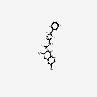 NC1Cc2cc(Cl)cnc2SC1C(=O)Nc1nnc(-c2ccccc2)s1